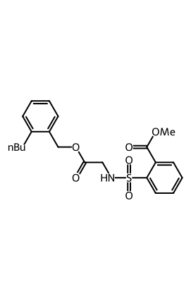 CCCCc1ccccc1COC(=O)CNS(=O)(=O)c1ccccc1C(=O)OC